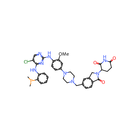 COc1cc(N2CCN(Cc3ccc4c(c3)CN(C3CCC(=O)NC3=O)C4=O)CC2)ccc1Nc1ncc(Cl)c(Nc2ccccc2P(C)C)n1